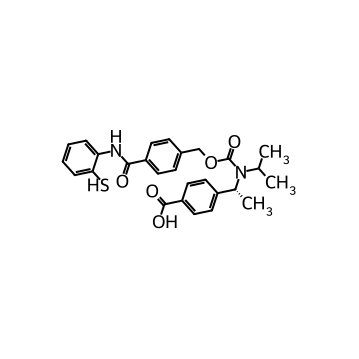 CC(C)N(C(=O)OCc1ccc(C(=O)Nc2ccccc2S)cc1)[C@H](C)c1ccc(C(=O)O)cc1